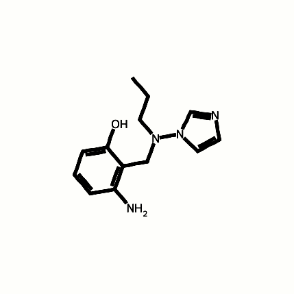 CCCN(Cc1c(N)cccc1O)n1ccnc1